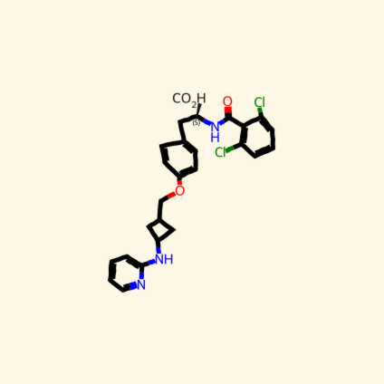 O=C(N[C@@H](Cc1ccc(OCC2CC(Nc3ccccn3)C2)cc1)C(=O)O)c1c(Cl)cccc1Cl